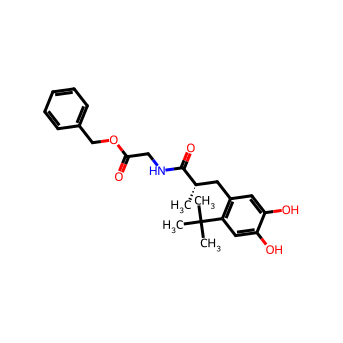 C[C@@H](Cc1cc(O)c(O)cc1C(C)(C)C)C(=O)NCC(=O)OCc1ccccc1